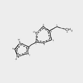 CCc1ccc(-c2nncs2)nc1